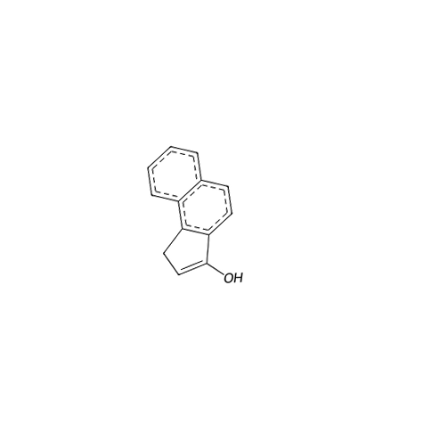 OC1=CCc2c1ccc1ccccc21